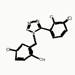 Oc1ccc(Cl)cc1Cn1nnnc1-c1cccc(Cl)c1Cl